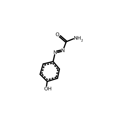 NC(=O)N=Nc1ccc(O)cc1